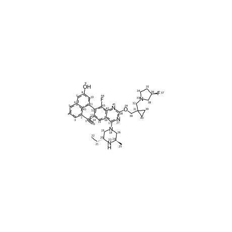 C#Cc1cccc2cc(O)cc(-c3c(F)cc4c(N5C[C@@H](CC)N[C@H](C)C5)nc(OCC5(CN6CC[C@@H](F)C6)CC5)nc4c3F)c12